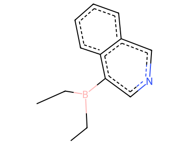 CCB(CC)c1cncc2ccccc12